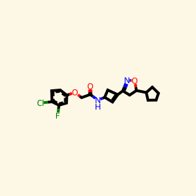 O=C(COc1ccc(Cl)c(F)c1)NC1C=C(C2=NOC(C3CCCC3)C2)C1